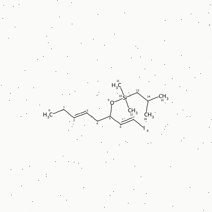 CCC=CCC(C=CI)O[Si](C)(C)CC(C)C